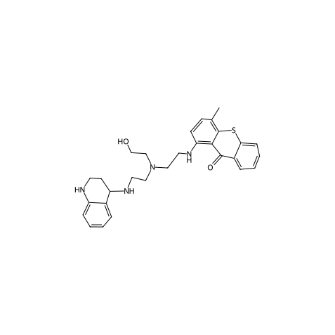 Cc1ccc(NCCN(CCO)CCNC2CCNc3ccccc32)c2c(=O)c3ccccc3sc12